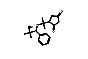 CC(C)(NN(c1ccccc1)C(C)(C)C(C)(C)C)C1CC(=O)OC1=O